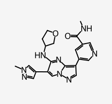 CNC(=O)c1cncc(-c2cnn3cc(-c4cnn(C)c4)c(NC4CCOC4)nc23)c1